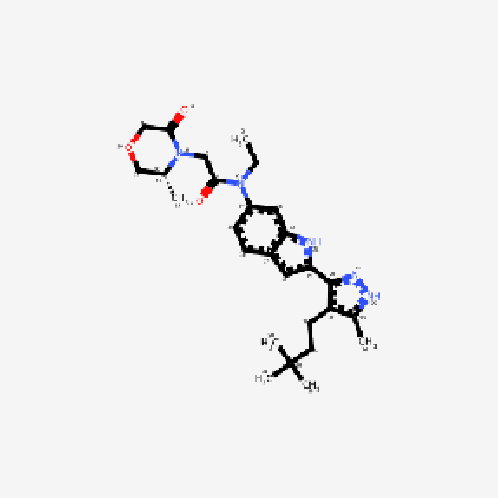 CCN(C(=O)CN1C(=O)COC[C@H]1C)c1ccc2cc(-c3n[nH]c(C)c3CCC(C)(C)C)[nH]c2c1